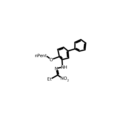 CCCCCOc1ccc(-c2ccccc2)cc1N/N=C(/CC)[N+](=O)[O-]